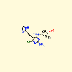 CC[C@@H](CO)CC(C)Nc1nc(N)nc(Cl)c1C#Cc1ncc[nH]1